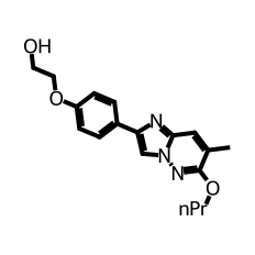 CCCOc1nn2cc(-c3ccc(OCCO)cc3)nc2cc1C